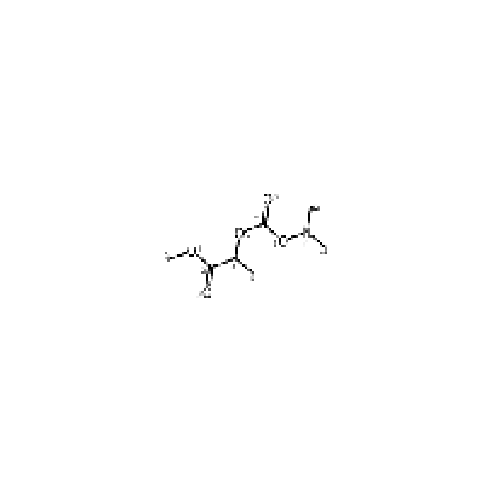 COC(=O)C(C)OC(=O)ON(C)C